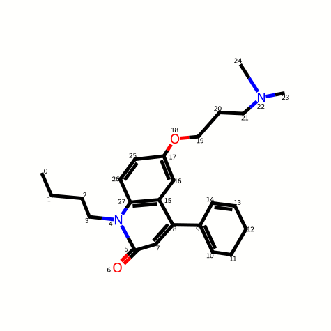 CCCCn1c(=O)cc(C2=CCCC=C2)c2cc(OCCCN(C)C)ccc21